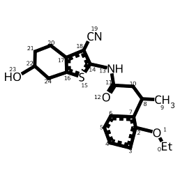 CCOc1ccccc1C(C)CC(=O)Nc1sc2c(c1C#N)CCC(O)C2